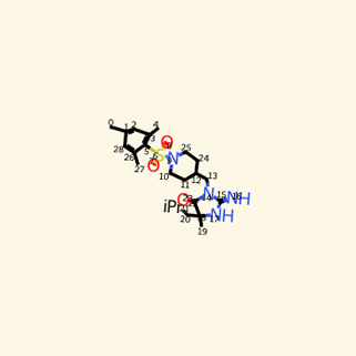 Cc1cc(C)c(S(=O)(=O)N2CCC(CN3C(=N)NC(C)(CC(C)C)C3=O)CC2)c(C)c1